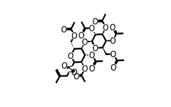 C=C(C)CS(=O)(=O)C1O[C@H](COC(C)=O)[C@@H](O[C@@H]2O[C@H](COC(C)=O)[C@H](OC(C)=O)[C@H](OC(C)=O)[C@H]2OC(C)=O)[C@H](OC(C)=O)[C@H]1OC(C)=O